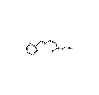 C=C\N=C(I)/N=C\N=C\c1ccccn1